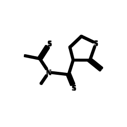 C=C1SCCC1C(=S)N(C)C(C)=S